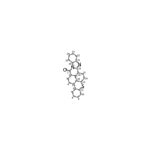 O=c1c2ccc3c4ccccc4sc4ccc(c2c43)c2nc3ccccc3n12